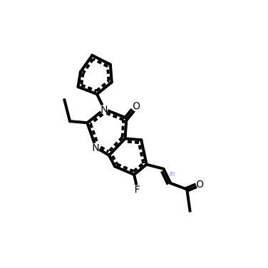 CCc1nc2cc(F)c(/C=C/C(C)=O)cc2c(=O)n1-c1ccccc1